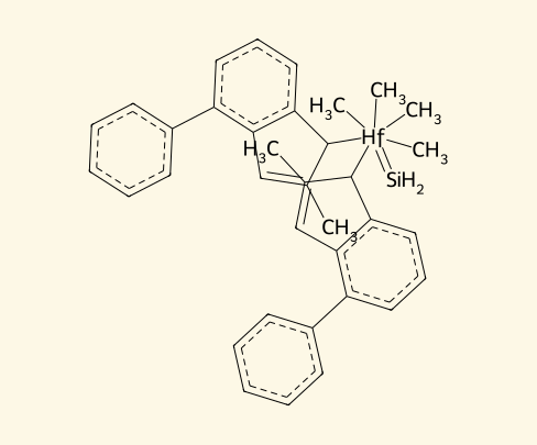 CC1=Cc2c(-c3ccccc3)cccc2[CH]1[Hf]([CH3])([CH3])([CH3])([CH3])(=[SiH2])[CH]1C(C)=Cc2c(-c3ccccc3)cccc21